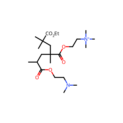 CCOC(=O)C(C)(C)CC(C)(CC(C)C(=O)OCCN(C)C)C(=O)OCC[N+](C)(C)C